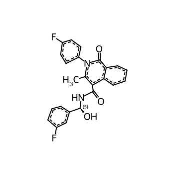 Cc1c(C(=O)N[C@@H](O)c2cccc(F)c2)c2ccccc2c(=O)n1-c1ccc(F)cc1